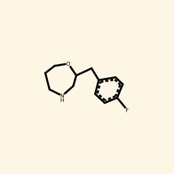 Fc1ccc(CC2CNCCCO2)cc1